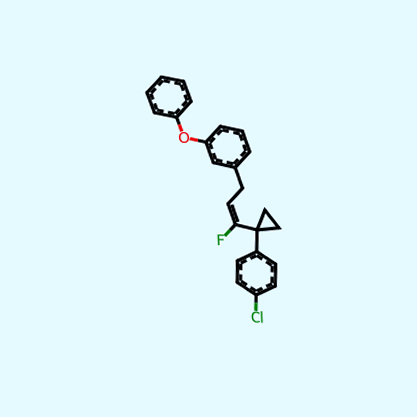 F/C(=C/Cc1cccc(Oc2ccccc2)c1)C1(c2ccc(Cl)cc2)CC1